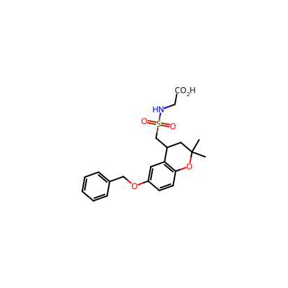 CC1(C)CC(CS(=O)(=O)NCC(=O)O)c2cc(OCc3ccccc3)ccc2O1